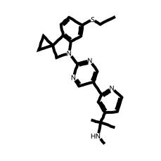 CCSc1ccc2c(c1)N(c1ncc(-c3cc(C(C)(C)NC)ccn3)cn1)CC21CC1